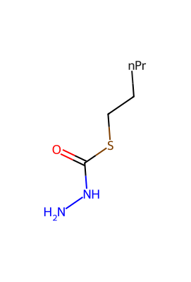 CCCCCSC(=O)NN